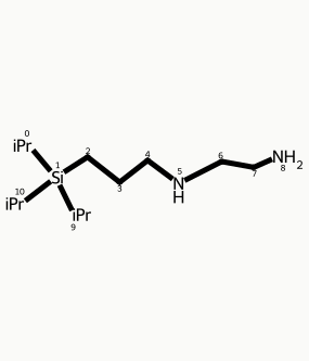 CC(C)[Si](CCCNCCN)(C(C)C)C(C)C